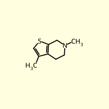 Cc1csc2c1CCN(C)C2